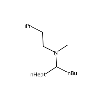 CCCCCCCC(CCCC)N(C)CCC(C)C